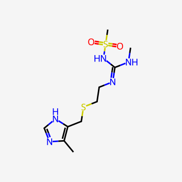 CNC(=NCCSCc1[nH]cnc1C)NS(C)(=O)=O